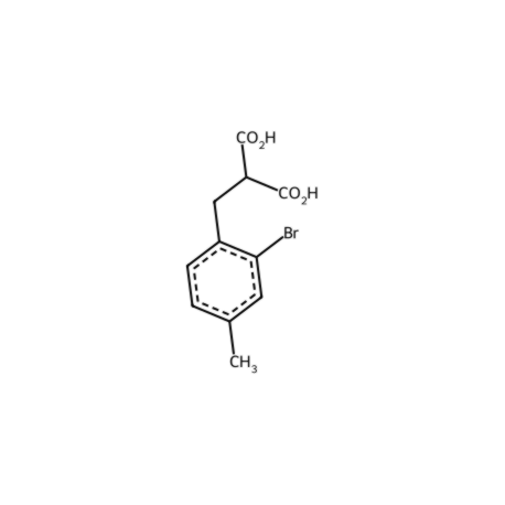 Cc1ccc(CC(C(=O)O)C(=O)O)c(Br)c1